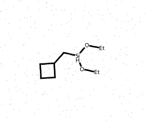 CCO[SiH](CC1CCC1)OCC